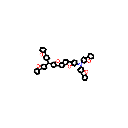 c1ccc2c(c1)oc1cc(C(c3ccc4c(c3)oc3ccccc34)c3ccc4c(c3)oc3c4ccc4c3ccc3c5ccc(N(c6ccc7c(c6)oc6ccccc67)c6ccc7c(c6)oc6ccccc67)cc5oc34)ccc12